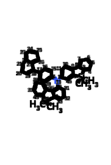 C[Si]1(C)c2ccccc2-c2ccc(N(c3ccc(-c4cccc5ccccc45)cc3)c3cccc4c3-c3ccccc3[Si]4(C)C)cc21